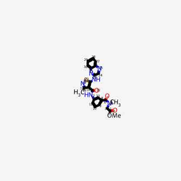 COC(=O)CN(C)C(=O)c1cccc(NC(=O)c2c(C)nsc2Nc2cnc3ccccc3n2)c1